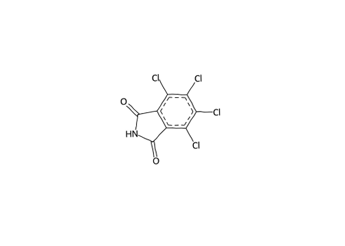 O=C1NC(=O)c2c(Cl)c(Cl)c(Cl)c(Cl)c21